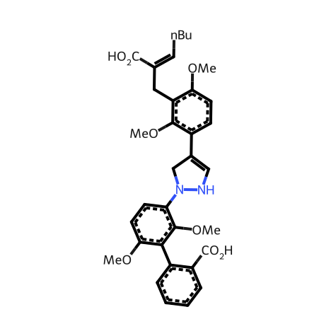 CCCCC=C(Cc1c(OC)ccc(C2=CNN(c3ccc(OC)c(-c4ccccc4C(=O)O)c3OC)C2)c1OC)C(=O)O